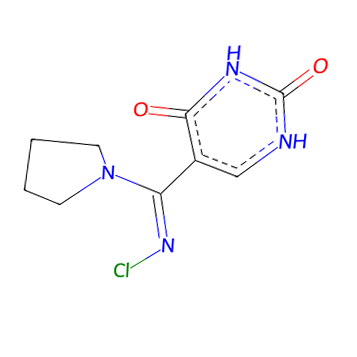 O=c1[nH]cc(C(=NCl)N2CCCC2)c(=O)[nH]1